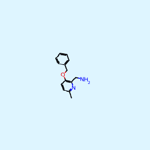 Cc1ccc(OCc2ccccc2)c(CN)n1